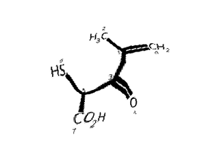 C=C(C)C(=O)C(S)C(=O)O